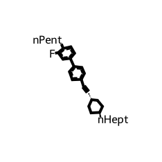 CCCCCCC[C@H]1CC[C@H](C#Cc2ccc(-c3ccc(CCCCC)c(F)c3)cc2)CC1